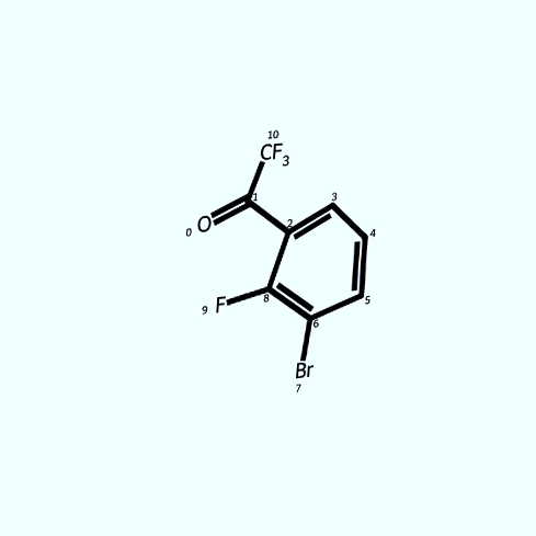 O=C(c1cccc(Br)c1F)C(F)(F)F